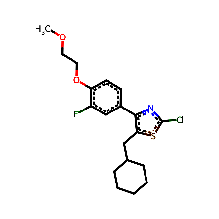 COCCOc1ccc(-c2nc(Cl)sc2CC2CCCCC2)cc1F